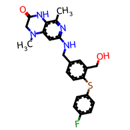 Cc1nc(NCc2ccc(Sc3ccc(F)cc3)c(CO)c2)cc2c1NC(=O)CN2C